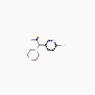 COc1ccc(C(C(N)=O)N2CCOCC2)cn1